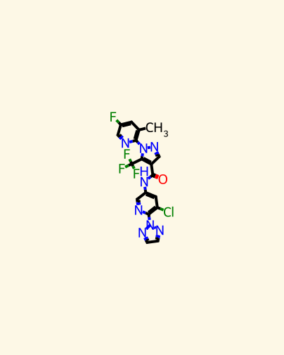 Cc1cc(F)cnc1-n1ncc(C(=O)Nc2cnc(-n3nccn3)c(Cl)c2)c1C(F)(F)F